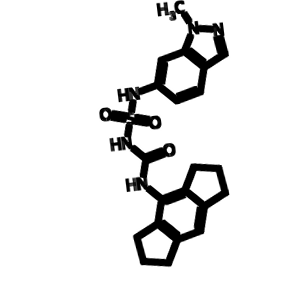 Cn1ncc2ccc(NS(=O)(=O)NC(=O)Nc3c4c(cc5c3CCC5)CCC4)cc21